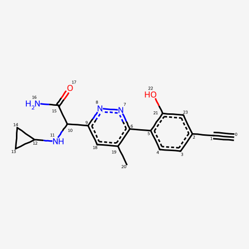 C#Cc1ccc(-c2nnc(C(NC3CC3)C(N)=O)cc2C)c(O)c1